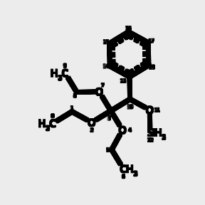 CCOC(OCC)(OCC)C(O[SiH3])c1ccccc1